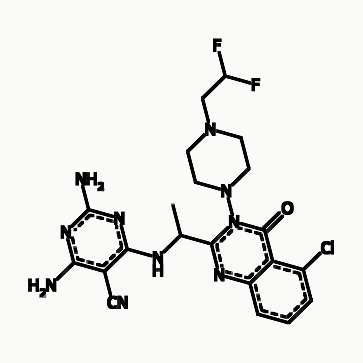 CC(Nc1nc(N)nc(N)c1C#N)c1nc2cccc(Cl)c2c(=O)n1N1CCN(CC(F)F)CC1